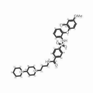 COc1ccc(Oc2ccccc2NS(=O)(=O)c2ccc(C(=O)NCCCN3CCC(N4CCCCC4)CC3)cc2)c(Cl)c1